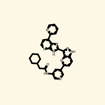 O=C(CC1CCCCC1)Nc1cncc(-c2ccc3[nH]nc(-c4nc5c(-c6ccccn6)ccnc5[nH]4)c3n2)c1